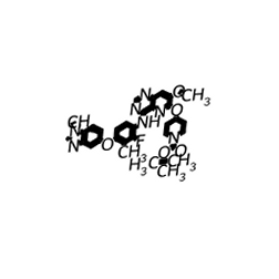 COc1cc2ncnc(Nc3ccc(Oc4ccc5c(c4)ncn5C)c(C)c3F)c2nc1OC1CCN(C(=O)OC(C)(C)C)CC1